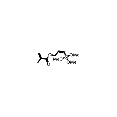 C=C(C)C(=O)OC/C=C\[Si](OC)(OC)OC